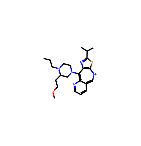 CCCN1CCN(C2=c3ncccc3=CNc3sc(C(C)C)nc32)CC1CCOC